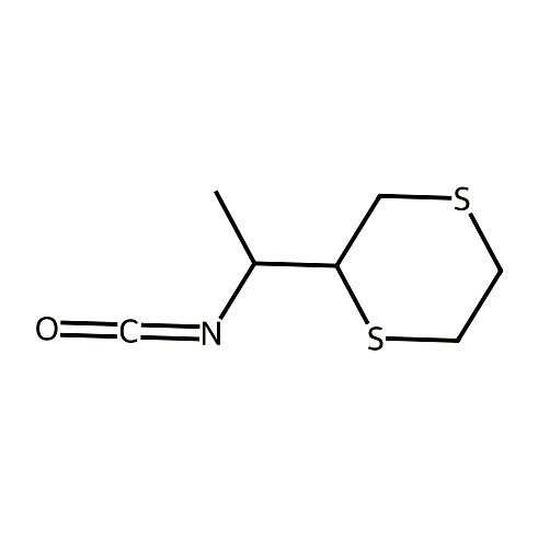 CC(N=C=O)C1CSCCS1